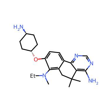 CCN(C)c1c(O[C@H]2CC[C@H](N)CC2)ccc2c1CC(C)(C)c1c(N)ncnc1-2